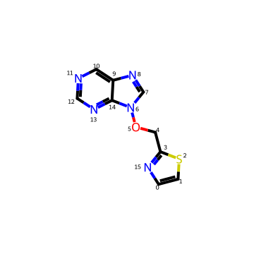 c1csc(COn2cnc3cncnc32)n1